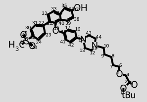 CC(C)(C)OC(=O)COCCCCCN1CCN(c2ccc(Oc3c(-c4ccc(S(C)(=O)=O)cc4)ccc4cc(O)ccc34)cc2)CC1